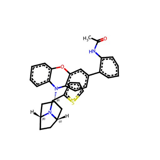 CC(=O)Nc1ccccc1-c1ccc2c(c1)Oc1ccccc1N2[C@H]1C[C@H]2CC[C@@H](C1)N2Cc1cccs1